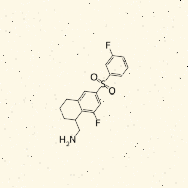 NCC1CCCc2cc(S(=O)(=O)c3cccc(F)c3)cc(F)c21